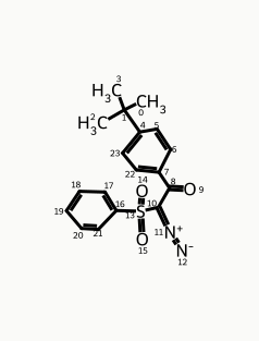 CC(C)(C)c1ccc(C(=O)C(=[N+]=[N-])S(=O)(=O)c2ccccc2)cc1